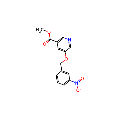 COC(=O)c1cncc(OCc2cccc([N+](=O)[O-])c2)c1